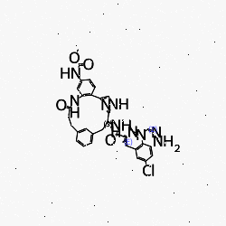 COC(=O)Nc1ccc2c(c1)NC(=O)CCc1cccc(c1)C[C@H](NC(=O)/C=C/c1cc(Cl)ccc1N(N)/C=N\N)c1nc-2c[nH]1